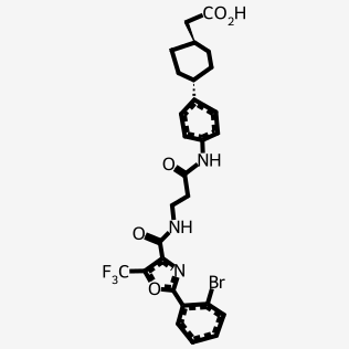 O=C(O)C[C@H]1CC[C@H](c2ccc(NC(=O)CCNC(=O)c3nc(-c4ccccc4Br)oc3C(F)(F)F)cc2)CC1